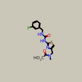 CN(Cc1csc(NC(=O)NCc2cccc(F)c2)n1)C(=O)C(=O)O